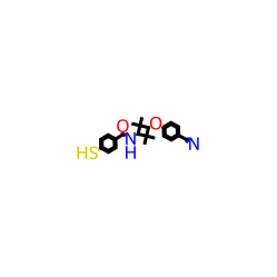 CC1(C)[C@H](NC(=O)c2ccc(S)cc2)C(C)(C)[C@H]1Oc1ccc(C#N)cc1